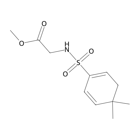 COC(=O)CNS(=O)(=O)C1=CCC(C)(C)C=C1